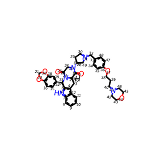 O=C1[C@H]2Cc3c([nH]c4ccccc34)[C@@H](c3ccc4c(c3)OCO4)N2C(=O)CN1[C@@H]1CCN(Cc2ccc(OCCCN3CCOCC3)cc2)C1